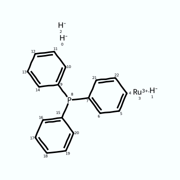 [H-].[H-].[H-].[Ru+3].c1ccc(P(c2ccccc2)c2ccccc2)cc1